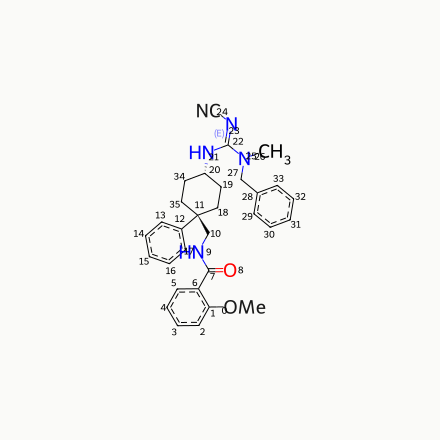 COc1ccccc1C(=O)NC[C@]1(c2ccccc2)CC[C@@H](N/C(=N\C#N)N(C)Cc2ccccc2)CC1